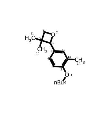 CCCCOc1ccc(C2OCC2(C)C)cc1C